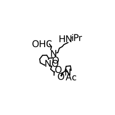 CC(=O)N1CCCC1C(=O)OC(C)CC(=O)N1CCCCCC1C(=O)N(CCC=O)CCCCCNC(C)C